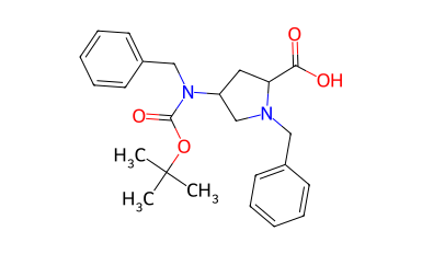 CC(C)(C)OC(=O)N(Cc1ccccc1)C1CC(C(=O)O)N(Cc2ccccc2)C1